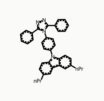 CCCc1ccc2c(c1)c1cc(CCC)ccc1n2-c1ccc(-n2c(-c3ccccc3)nnc2-c2ccccc2)cc1